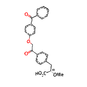 CO[C@@H](Cc1ccc(C(=O)COc2ccc(C(=O)c3ccccc3)cc2)cc1)C(=O)O